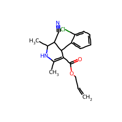 C=CCOC(=O)C1=C(C)NC(C)C(C#N)C1c1ccccc1Cl